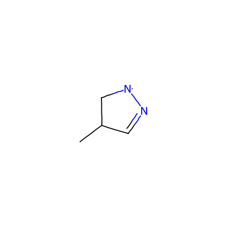 CC1C=N[N]C1